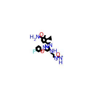 CNC(=O)N(C)CCCNc1cc(Oc2cccc(F)c2)nn2c(-c3ccc(C(N)=O)c(C)c3C3CC3)cnc12